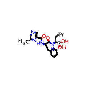 Cc1cncc(C(=O)NC(Cc2ccccc2)C(=O)N[C@@H](CC(C)C)B(O)O)n1